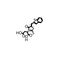 O=C(O)CC(C(=O)O)N1C(=O)/C(=C/c2cc3ccccc3s2)SC1=S